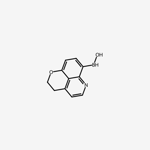 OBc1ccc2c3c(ccnc13)CCO2